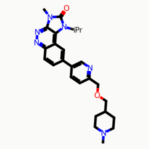 CC(C)n1c(=O)n(C)c2nnc3ccc(-c4ccc(COCC5CCN(C)CC5)nc4)cc3c21